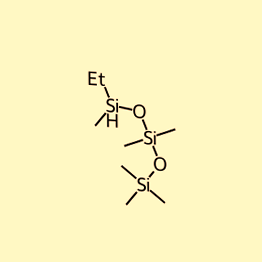 CC[SiH](C)O[Si](C)(C)O[Si](C)(C)C